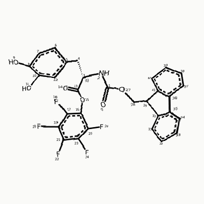 O=C(N[C@@H](Cc1ccc(O)c(O)c1)C(=O)Oc1c(F)c(F)c(F)c(F)c1F)OCC1c2ccccc2-c2ccccc21